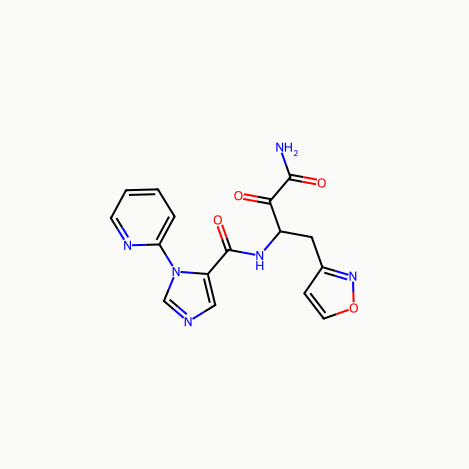 NC(=O)C(=O)C(Cc1ccon1)NC(=O)c1cncn1-c1ccccn1